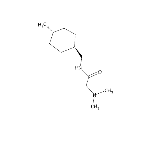 CN(C)CC(=O)NC[C@H]1CC[C@H](C)CC1